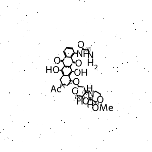 CO[C@H]1OCCN2[C@@H]1O[C@@H]1[C@H](C)OC(O[C@H]3C[C@H](C(C)=O)Cc4c(O)c5c(c(O)c43)C(=O)c3c(NC(=O)[C@H](C)N)cccc3C5=O)C[C@@H]12